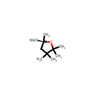 CO[C@]1(C)CC(C)(C)C(C)(C)O1